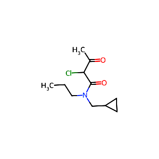 CCCN(CC1CC1)C(=O)C(Cl)C(C)=O